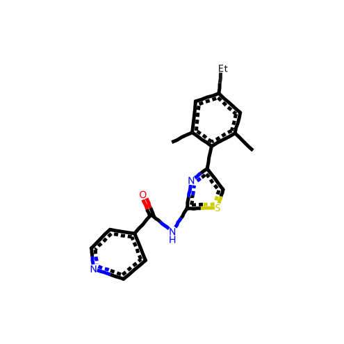 CCc1cc(C)c(-c2csc(NC(=O)c3ccncc3)n2)c(C)c1